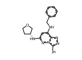 CC(C)c1nnc2c(NCc3ccccc3)cc(N[C@@H]3CCOC3)nn12